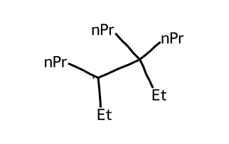 CCC[C](CC)C(CC)(CCC)CCC